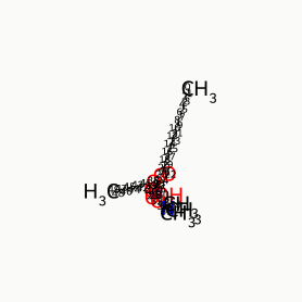 CCCCCCCCCCCCCCCCCCCCCC(=O)OC[C@H](COP(=O)(O)OCC[N+](C)(C)C)OC(=O)CCCCCCCCC